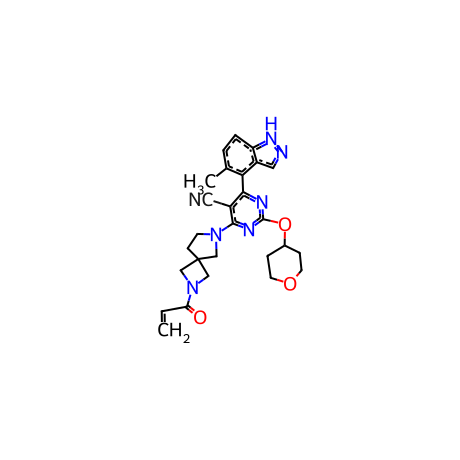 C=CC(=O)N1CC2(CCN(c3nc(OC4CCOCC4)nc(-c4c(C)ccc5[nH]ncc45)c3C#N)C2)C1